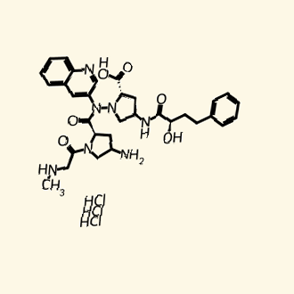 CNCC(=O)N1CC(N)C[C@@H]1C(=O)N(c1cnc2ccccc2c1)N1CC(NC(=O)[C@H](O)CCc2ccccc2)C[C@H]1C(=O)O.Cl.Cl.Cl